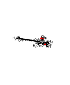 CCCCC(CCCC(O)C(O)CCCCCCCCCCCCCCC(O)C(=O)OC)OC1OCC(O)C(O)C1OC1OCC(O)C(O)C1OC1OC(CO)C(O)C(O)C1O